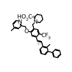 Cc1ccnc(COc2cc(/C=C/c3cccc(-c4ccccc4)c3C)c(C(F)(F)F)cc2CN2CCCC[C@H]2C(=O)O)c1